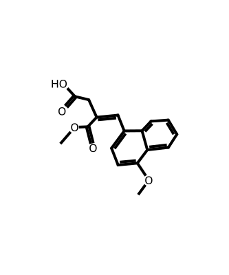 COC(=O)C(=Cc1ccc(OC)c2ccccc12)CC(=O)O